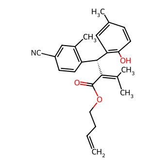 C=CCCOC(=O)C(=C(C)C)[C@H](c1ccc(C#N)cc1C)c1cc(C)ccc1O